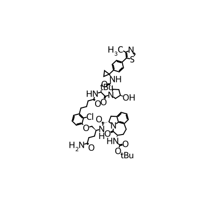 Cc1ncsc1-c1ccc(C2(NC(=O)[C@@H]3C[C@@H](O)CN3C(=O)[C@@H](NC(=O)CCCc3cccc(OC[C@H](CCC(N)=O)NC(=O)[C@@H]4Cc5cccc6c5N4C(=O)[C@@H](NC(=O)OC(C)(C)C)CC6)c3Cl)C(C)(C)C)CC2)cc1